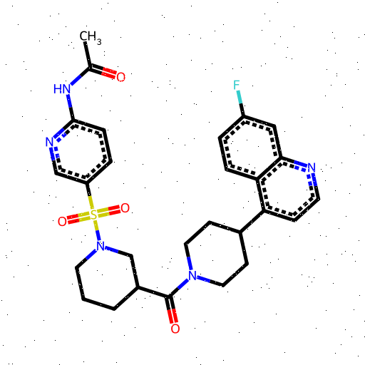 CC(=O)Nc1ccc(S(=O)(=O)N2CCCC(C(=O)N3CCC(c4ccnc5cc(F)ccc45)CC3)C2)cn1